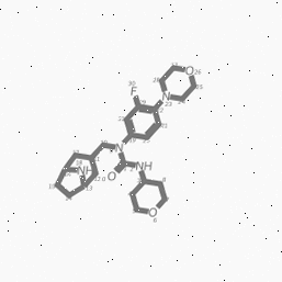 O=C(NC1CCOCC1)N(CC1CC2CCC(C1)N2)c1ccc(N2CCOCC2)c(F)c1